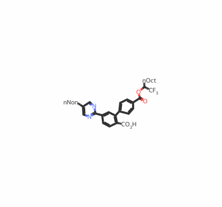 CCCCCCCCCc1cnc(-c2ccc(C(=O)O)c(-c3ccc(C(=O)OC(CCCCCCCC)C(F)(F)F)cc3)c2)nc1